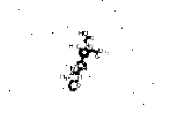 CC(=O)c1nn(CC(=O)O)c2c(C)cc(-c3cnc4c(OC5CCCCO5)c(C)nn4c3)cc12